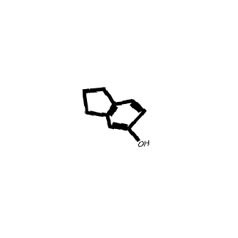 Oc1ccc2c(c1)[CH]CC2